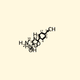 C#Cc1ccc(C(=O)N[C@@H](CN)C(=O)NO)cc1